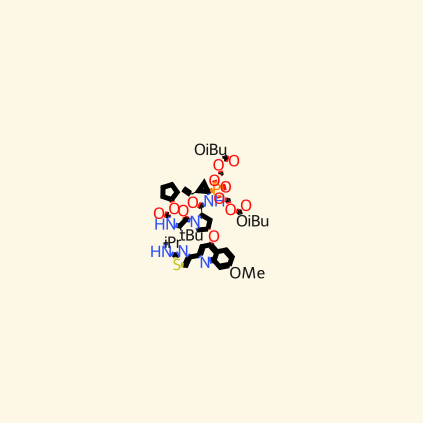 C=C[C@@H]1C[C@]1(NC(=O)[C@@H]1CC(Oc2cc(-c3csc(NC(C)C)n3)nc3cc(OC)ccc23)CN1C(=O)[C@@H](NC(=O)OC1CCCC1)C(C)(C)C)P(=O)(OCOC(=O)OCC(C)C)OCOC(=O)OCC(C)C